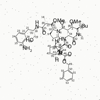 CC[C@H](C)C([C@@H](CC(=O)N1CCC[C@H]1[C@H](OC)[C@@H](C)C(=O)N[C@H](CO)Cc1cccc(N)c1)OC)N(C)C(=O)CNC(=O)[C@@H]1[C@H]2CC[C@@H]([C@H]2C)N1C(=O)OCc1ccccc1